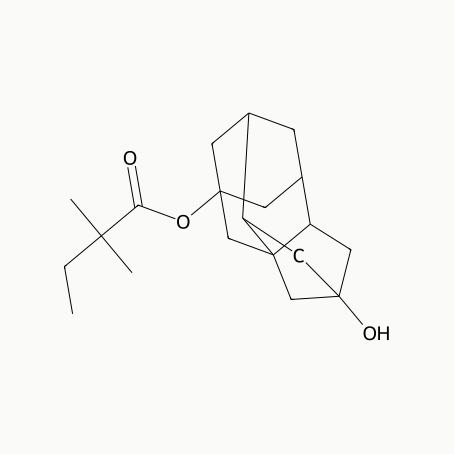 CCC(C)(C)C(=O)OC12CC3CC(C1)C1CC4(O)CC3C1(C4)C2